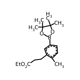 CCOC(=O)CCc1cc(B2OC(C)(C)C(C)(C)O2)ccc1C